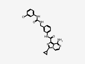 Nc1nccn2c(C3CC3)nc(C(=O)Nc3cccc(CNC(=O)Nc4cccc(Cl)c4)c3)c12